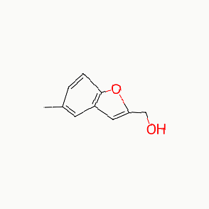 Cc1ccc2oc(CO)cc2c1